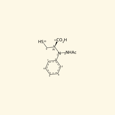 CC(=O)NN(c1ccccc1)[C@@H](CS)C(=O)O